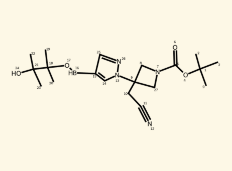 CC(C)(C)OC(=O)N1CC(CC#N)(n2cc(BOC(C)(C)C(C)(C)O)cn2)C1